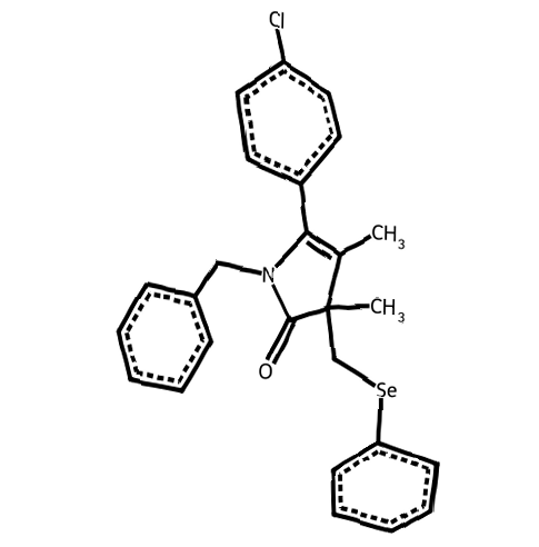 CC1=C(c2ccc(Cl)cc2)N(Cc2ccccc2)C(=O)C1(C)C[Se]c1ccccc1